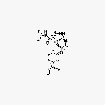 C=CC(=O)N1CCCC(Oc2cnc3[nH]cc(C(=O)NC(C)C)c3n2)C1